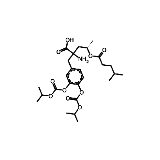 CC(C)CCC(=O)O[C@@H](C)CC(N)(Cc1ccc(OC(=O)OC(C)C)c(OC(=O)OC(C)C)c1)C(=O)O